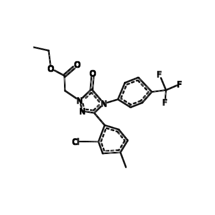 CCOC(=O)Cn1nc(-c2ccc(C)cc2Cl)n(-c2ccc(C(F)(F)F)cc2)c1=O